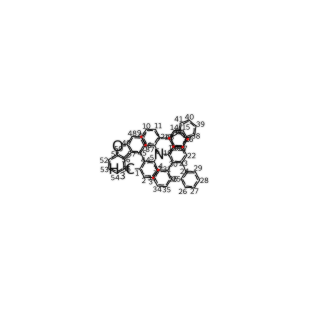 Cc1cccc(N(c2ccccc2-c2ccccc2)c2c3c(cc(-c4ccccc4)c2-c2ccccc2)-c2ccccc2C3)c1-c1cccc2oc3ccccc3c12